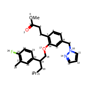 COC(=O)CCc1ccc(Cn2cccn2)cc1OCC(CC(C)C)c1ccc(F)c(C)c1